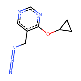 [N-]=[N+]=NCc1cncnc1OC1CC1